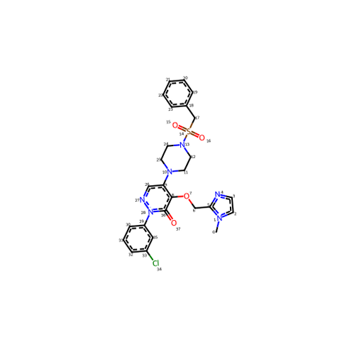 Cn1ccnc1COc1c(N2CCN(S(=O)(=O)Cc3ccccc3)CC2)cnn(-c2cccc(Cl)c2)c1=O